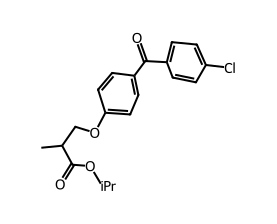 CC(C)OC(=O)C(C)COc1ccc(C(=O)c2ccc(Cl)cc2)cc1